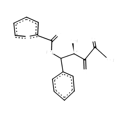 O=C(O)C(=O)[C@H](O)C(NC(=O)c1ccccc1)c1ccccc1